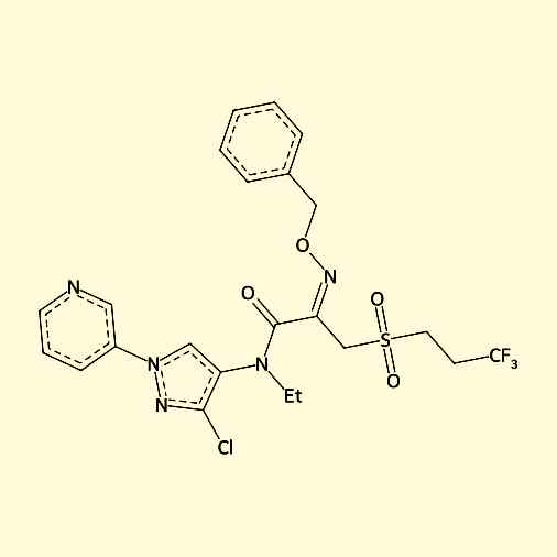 CCN(C(=O)C(CS(=O)(=O)CCC(F)(F)F)=NOCc1ccccc1)c1cn(-c2cccnc2)nc1Cl